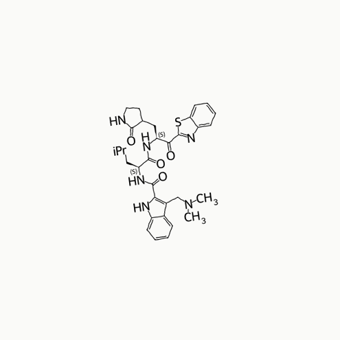 CC(C)C[C@H](NC(=O)c1[nH]c2ccccc2c1CN(C)C)C(=O)N[C@@H](CC1CCNC1=O)C(=O)c1nc2ccccc2s1